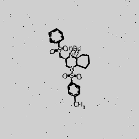 CCCCN1[C@H](CS(=O)(=O)c2ccccc2)CN(S(=O)(=O)c2ccc(C)cc2)C2CCCC[C@@H]21